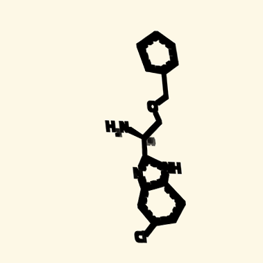 N[C@@H](COCc1ccccc1)c1nc2cc(Cl)ccc2[nH]1